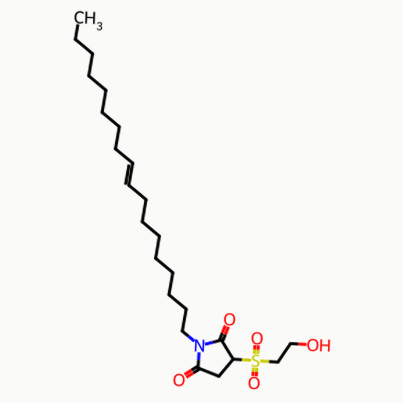 CCCCCCCCC=CCCCCCCCCN1C(=O)CC(S(=O)(=O)CCO)C1=O